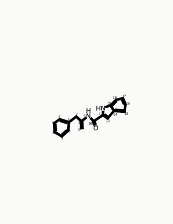 C=C(Cc1ccccc1)NC(=O)c1cc2ccccc2[nH]1